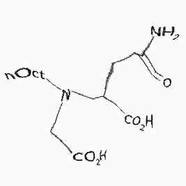 CCCCCCCCN(CC(=O)O)C(CC(N)=O)C(=O)O